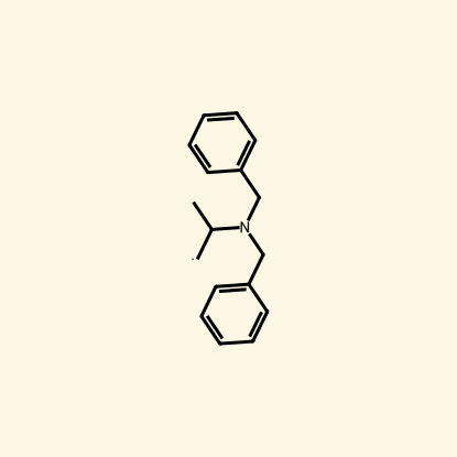 [CH2]C(C)N(Cc1ccccc1)Cc1ccccc1